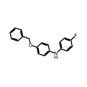 Fc1ccc(Nc2ccc(OCc3ccccc3)cc2)cc1